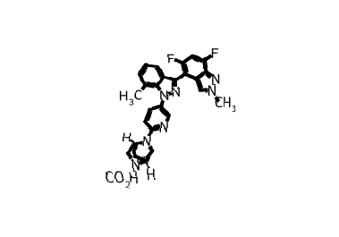 Cc1cccc2c(-c3c(F)cc(F)c4nn(C)cc34)nn(-c3ccc(N4C[C@H]5C[C@@H]4CN5C(=O)O)nc3)c12